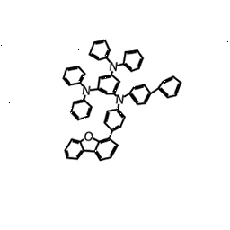 c1ccc(-c2ccc(N(c3ccc(-c4cccc5c4oc4ccccc45)cc3)c3cc(N(c4ccccc4)c4ccccc4)cc(N(c4ccccc4)c4ccccc4)c3)cc2)cc1